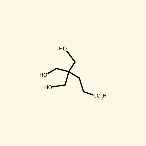 O=C(O)CCC(CO)(CO)CO